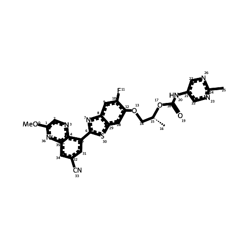 COc1cnc2c(-c3nc4cc(F)c(OC[C@@H](C)OC(=O)Nc5cnc(C)nc5)cc4s3)cc(C#N)cc2n1